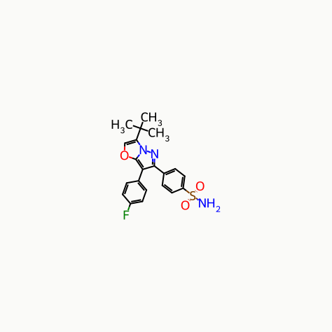 CC(C)(C)c1coc2c(-c3ccc(F)cc3)c(-c3ccc(S(N)(=O)=O)cc3)nn12